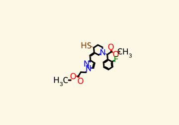 CCOC(=O)CCn1ccc(/C=C2\CN([C@H](C(=O)OC)c3ccccc3F)CC[C@H]2S)n1